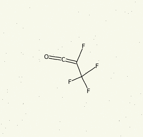 O=C=C(F)C(F)(F)F